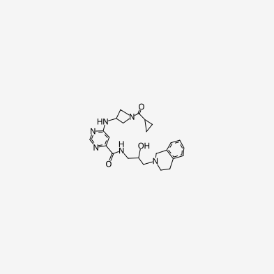 O=C(NCC(O)CN1CCc2ccccc2C1)c1cc(NC2CN(C(=O)C3CC3)C2)ncn1